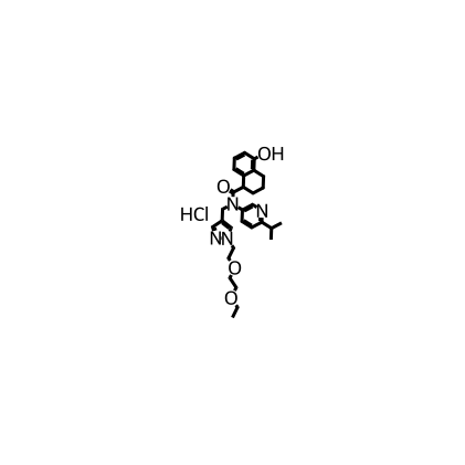 CCOCCOCCn1cc(CN(C(=O)C2CCCc3c(O)cccc32)c2ccc(C(C)C)nc2)cn1.Cl